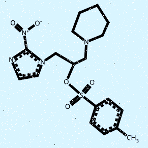 Cc1ccc(S(=O)(=O)OC(CN2CCCCC2)Cn2ccnc2[N+](=O)[O-])cc1